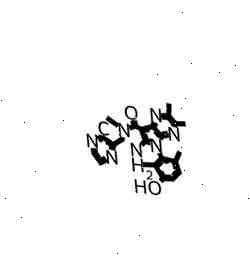 Cc1ccc(O)c(C)c1-n1c(N)c(C(=O)N2CCc3nccnc3C2)c2nc(C)c(C)nc21